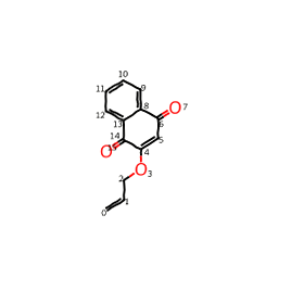 C=CCOC1=CC(=O)c2ccccc2C1=O